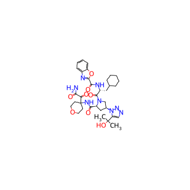 CC(C)(O)c1cnnn1[C@H]1C[C@@H](C(=O)NC2(C(=O)C(N)=O)CCOCC2)N(C(=O)[C@@H](CC2CCCCC2)NC(=O)c2nc3ccccc3o2)C1